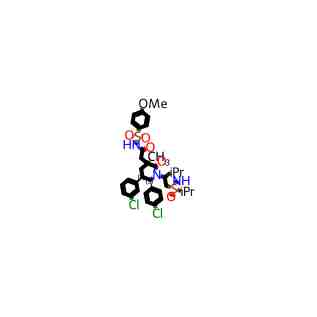 COc1ccc(S(=O)(=O)NC(=O)C[C@@]2(C)C[C@H](c3cccc(Cl)c3)[C@@H](c3ccc(Cl)cc3)N(C(CS(=N)(=O)C(C)C)C(C)C)C2=O)cc1